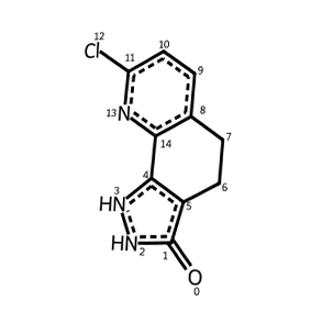 O=c1[nH][nH]c2c1CCc1ccc(Cl)nc1-2